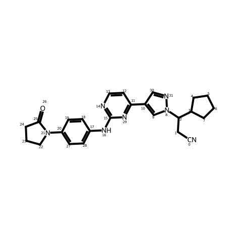 N#CCC(C1CCCC1)n1cc(-c2ccnc(Nc3ccc(N4CCCC4=O)cc3)n2)cn1